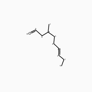 CC/C=C/CCC(C)C[C]=O